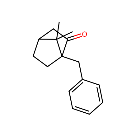 CC1(C)C2CCC1(Cc1ccccc1)C(=O)C2